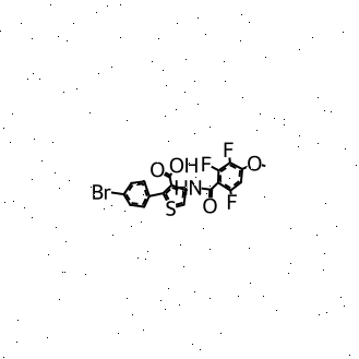 COc1cc(F)c(C(=O)Nc2csc(-c3ccc(Br)cc3)c2C(=O)O)c(F)c1F